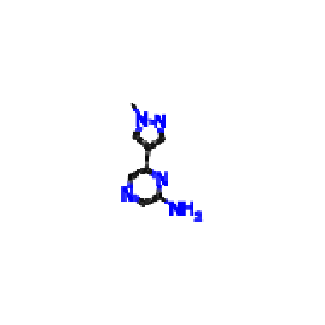 Cn1cc(-c2cncc(N)n2)cn1